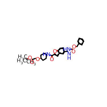 CC(C)(C)OC(=O)CO[C@H]1CC[C@H](NC(=O)c2cc3cc(C(=N)NC(=O)OCc4ccccc4)ccc3o2)CC1